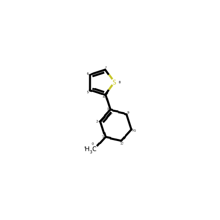 CC1C=C(c2cccs2)CCC1